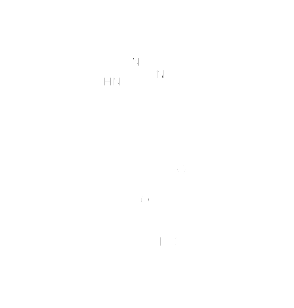 C=CC(=O)Oc1ccc2[nH]nnc2c1